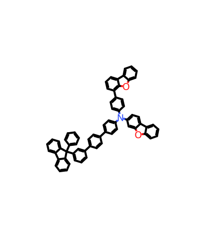 c1ccc(C2(c3cccc(-c4ccc(-c5ccc(N(c6ccc(-c7cccc8c7oc7ccccc78)cc6)c6ccc7c(c6)oc6ccccc67)cc5)cc4)c3)c3ccccc3-c3ccccc32)cc1